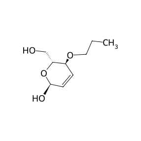 CCCO[C@H]1C=C[C@@H](O)O[C@@H]1CO